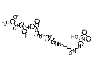 CN(CCN1CCC(N(C(=O)O)c2ccccc2-c2ccccc2)CC1)C(=O)CCCCCNCc1ccc(C(=O)N(C)CCCN(C)C(=O)CO[C@H]2Cc3ccccc3C23CCN(CC[C@@]2(c4ccc(F)cc4)CN(C(=O)c4cc(C(F)(F)F)cc(C(F)(F)F)c4)CO2)CC3)s1